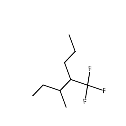 CCCC(C(C)CC)C(F)(F)F